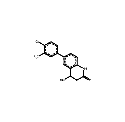 CC(C)(C)C1[C]C(=O)Nc2ccc(-c3ccc(Cl)c(C(F)(F)F)c3)cc21